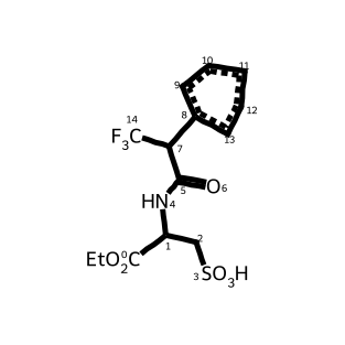 CCOC(=O)C(CS(=O)(=O)O)NC(=O)C(c1ccccc1)C(F)(F)F